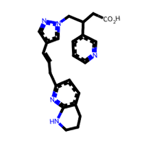 O=C(O)CC(Cn1cc(C=CCc2ccc3c(n2)NCCC3)cn1)c1cccnc1